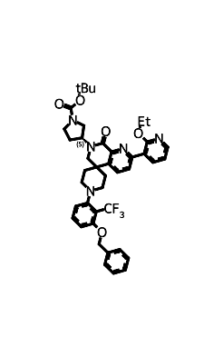 CCOc1ncccc1-c1ccc2c(n1)C(=O)N([C@H]1CCN(C(=O)OC(C)(C)C)C1)CC21CCN(c2cccc(OCc3ccccc3)c2C(F)(F)F)CC1